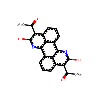 COC(=O)c1c(O)nc2c3cccc4c(C(=O)OC)c(O)nc(c5cccc1c52)c43